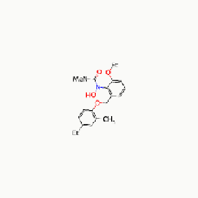 CCOc1cccc(COc2ccc(CC)cc2C)c1N(O)C(=O)NC